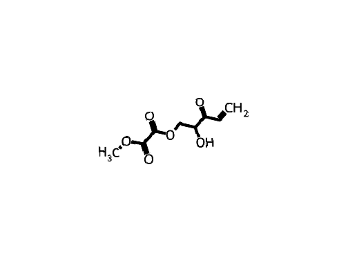 C=CC(=O)C(O)COC(=O)C(=O)OC